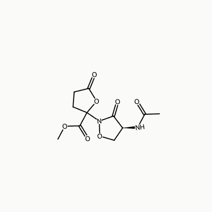 COC(=O)C1(N2OC[C@H](NC(C)=O)C2=O)CCC(=O)O1